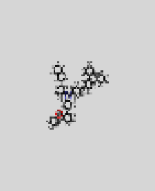 c1cc(-c2ccc3ccccc3c2)cc(N(c2ccc(-c3ccc4c5ccccc5c5ccccc5c4c3)cc2)c2ccc(-c3cccc4c3oc3ccccc34)cc2)c1